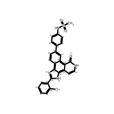 CS(=O)(=O)Nc1ccc(-c2ccc3c(c2)c2c(=O)[nH]ccc2c2[nH]c(-c4ccccc4Cl)nc32)cc1